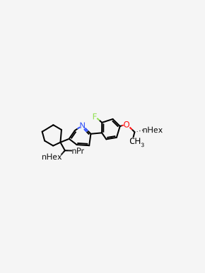 CCCCCCC(CCC)C1(c2ccc(-c3ccc(O[C@@H](C)CCCCCC)cc3F)nc2)CCCCC1